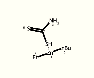 CCC[CH2][Zn][CH2]C.NC(=S)S